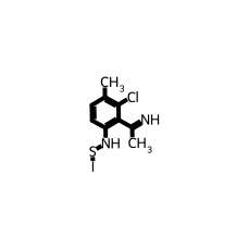 CC(=N)c1c(NSI)ccc(C)c1Cl